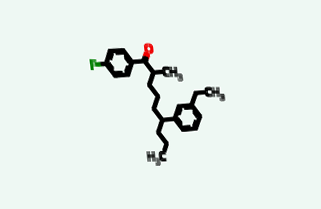 CCCC(CCCC(C)C(=O)c1ccc(F)cc1)c1cccc(CC)c1